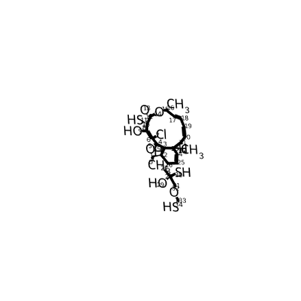 CC[C@H]1[C@@H]2C(=O)/C(Cl)=C(\O)[C@H](S)C(=O)O[C@@H](C)/C=C/C=C\[C@@H](C)[C@@H]2C=C[C@@H]1C[C@](O)(S)COCS